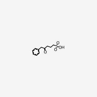 O=C(CCCS(=O)(=O)O)Cc1ccccc1